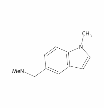 CNCc1ccc2c(ccn2C)c1